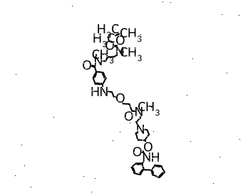 CN(CCN1CCC(OC(=O)Nc2ccccc2-c2ccccc2)CC1)C(=O)CCOCCNc1ccc(C(=O)N(C)CCCN(C)C(=O)OC(C)(C)C)cc1